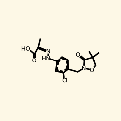 CC(=NNc1ccc(CN2OCC(C)(C)C2=O)c(Cl)c1)C(=O)O